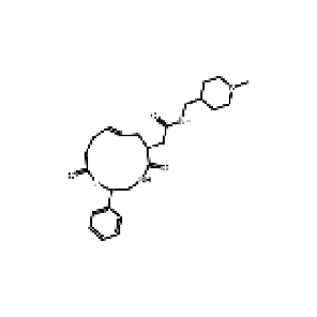 CN1CCC(CNC(=O)C[C@@H]2C/C=C/CCC(=O)O[C@H](c3ccccc3)CNC2=O)CC1